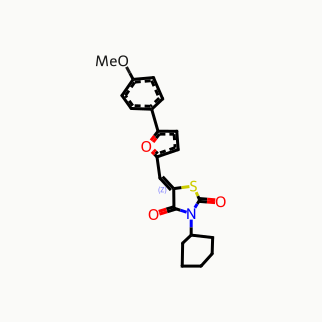 COc1ccc(-c2ccc(/C=C3\SC(=O)N(C4CCCCC4)C3=O)o2)cc1